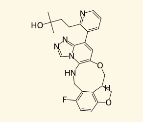 CC(C)(O)CCc1ncccc1-c1cc2c(n3cnnc13)NCc1c(F)ccc3c1[C@H](CO3)CO2